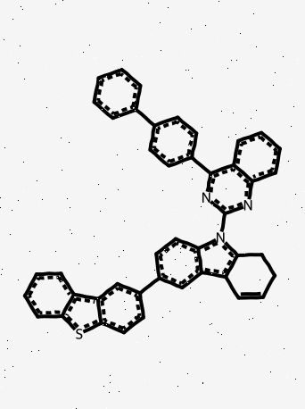 C1=Cc2c(n(-c3nc(-c4ccc(-c5ccccc5)cc4)c4ccccc4n3)c3ccc(-c4ccc5sc6ccccc6c5c4)cc23)CC1